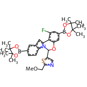 COCc1ncc(C2Oc3cc(B4OC(C)(C)C(C)(C)O4)cc(F)c3-c3cc4cc(B5OC(C)(C)C(C)(C)O5)ccc4n32)s1